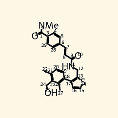 CNC(=O)c1ccc(C=CC(=O)NCc2sccc2-c2ccc(C)c(CO)c2C)cc1